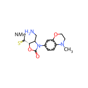 CNC(=S)[C@H]1OC(=O)N(c2ccc3c(c2)OCCN3C)C1CN